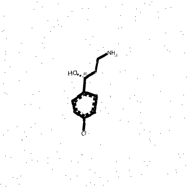 NCC[C@@H](O)c1ccc(Cl)cc1